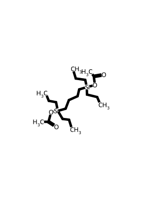 CCC[Si](CCC)(CCCC[Si](CCC)(CCC)OC(C)=O)OC(C)=O